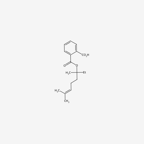 CCC(C)(CCC=C(C)C)OC(=O)c1ccccc1C(=O)O